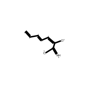 C=C/C=C/C=C(/Cl)C(=N)Cl